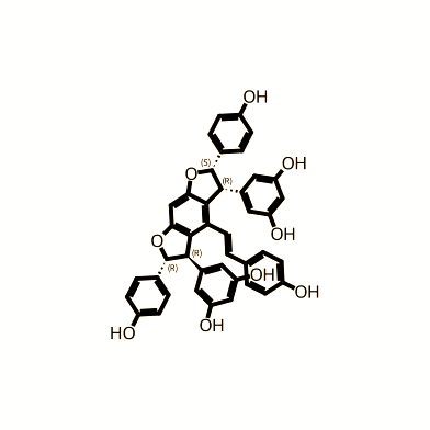 Oc1ccc(C=Cc2c3c(cc4c2[C@@H](c2cc(O)cc(O)c2)[C@H](c2ccc(O)cc2)O4)O[C@H](c2ccc(O)cc2)[C@@H]3c2cc(O)cc(O)c2)cc1